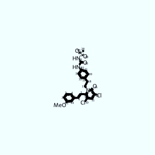 COc1cccc(/C=C/c2c(Cl)cc(Cl)c(=O)n2CCc2ccc(NC(=O)NS(C)(=O)=O)cc2)c1